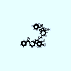 O=C(c1ccccc1)N1CCCC(CCSCN2CCC(O)(CS(=O)(=O)c3ccccc3)CC2)(c2ccc(Cl)c(Cl)c2)C1